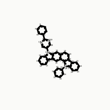 c1ccc(-c2ncc(-n3c4ccccc4c4cc5c(ccc6c7ccccc7n(-c7ccccc7)c56)cc43)cn2)cc1